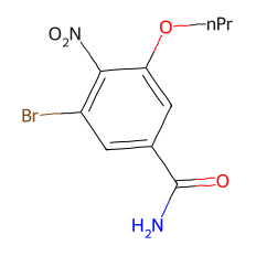 [CH2]CCOc1cc(C(N)=O)cc(Br)c1[N+](=O)[O-]